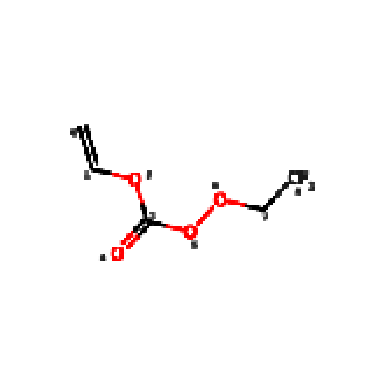 C=COC(=O)OOCC(F)(F)F